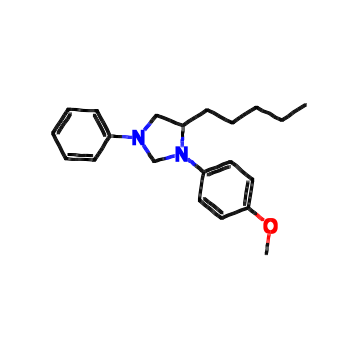 CCCCCC1CN(c2ccccc2)CN1c1ccc(OC)cc1